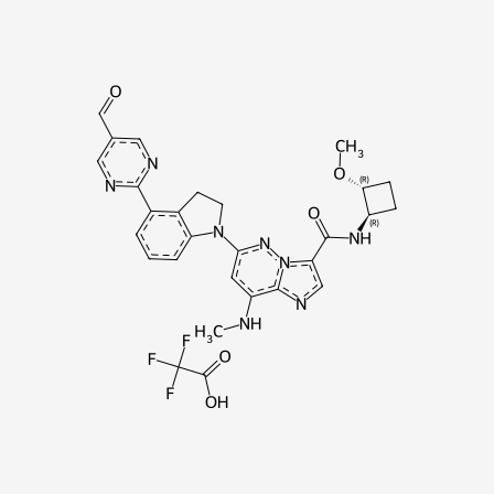 CNc1cc(N2CCc3c(-c4ncc(C=O)cn4)cccc32)nn2c(C(=O)N[C@@H]3CC[C@H]3OC)cnc12.O=C(O)C(F)(F)F